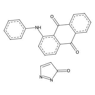 O=C1C=CN=N1.O=C1c2ccccc2C(=O)c2c(Nc3ccccc3)cccc21